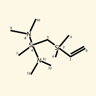 C=C[Si](C)(C)C[Si](C)(N(C)C)N(C)C